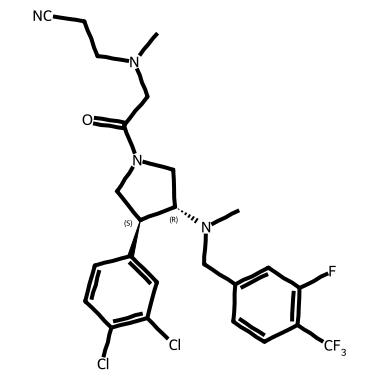 CN(CCC#N)CC(=O)N1C[C@H](c2ccc(Cl)c(Cl)c2)[C@@H](N(C)Cc2ccc(C(F)(F)F)c(F)c2)C1